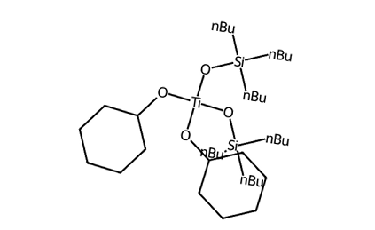 CCCC[Si](CCCC)(CCCC)[O][Ti]([O]C1CCCCC1)([O]C1CCCCC1)[O][Si](CCCC)(CCCC)CCCC